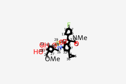 CNC(=O)c1c(-c2ccc(F)cc2)oc2c(N(Cc3ccc(B(O)O)c(COC)c3)S(C)(=O)=O)cc(C3CC3)cc12